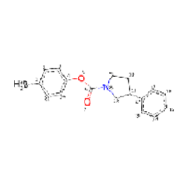 Bc1ccc(OC(=O)N2CCC(c3ccccc3)C2)cc1